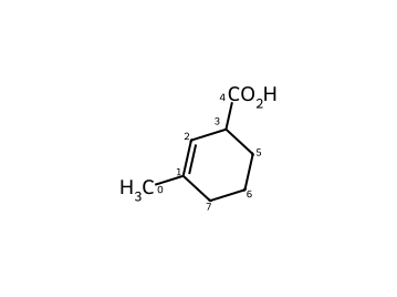 CC1=CC(C(=O)O)CCC1